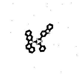 c1ccc(-c2nc(-c3ccc4c(c3)sc3ccccc34)nc(-n3c4cc5ccccc5cc4c4ccc5ccccc5c43)n2)cc1